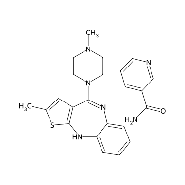 Cc1cc2c(s1)Nc1ccccc1N=C2N1CCN(C)CC1.NC(=O)c1cccnc1